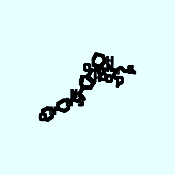 COC(=O)[C@H](CCSC)NC(=O)C1(NC(=O)c2ccc(-c3csc(N4CCC(N5CCOCC5)CC4)n3)cc2)CCCCC1